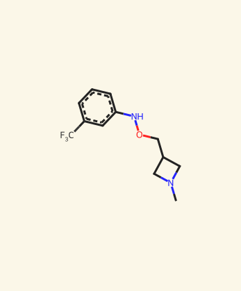 CN1CC(CONc2cccc(C(F)(F)F)c2)C1